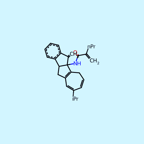 C=C(CCC)C(=O)NC12C(=C)c3ccccc3C1CC1=C2CC=CC(C(C)C)=C1